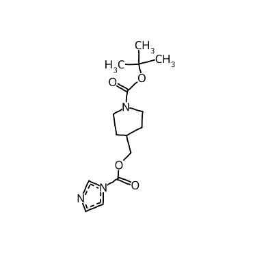 CC(C)(C)OC(=O)N1CCC(COC(=O)n2ccnc2)CC1